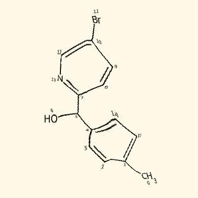 Cc1ccc(C(O)c2ccc(Br)cn2)cc1